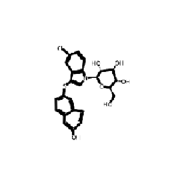 OC[C@H]1O[C@@H](n2cc(Sc3ccc4cc(O)ccc4c3)c3cc(Cl)ccc32)[C@H](O)[C@@H](O)[C@@H]1O